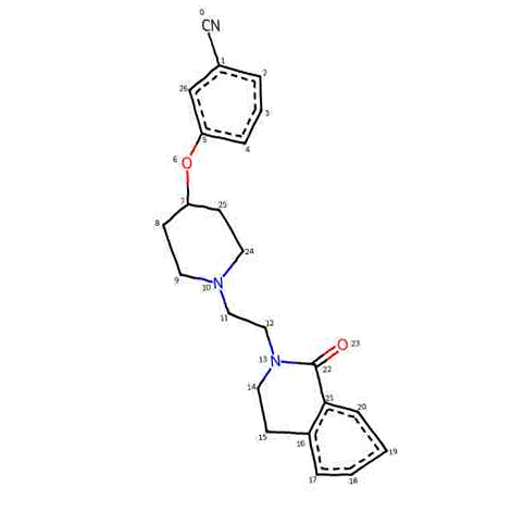 N#Cc1cccc(OC2CCN(CCN3CCc4ccccc4C3=O)CC2)c1